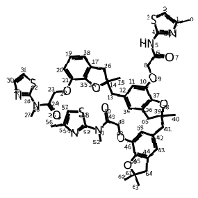 Cc1csc(NC(=O)COc2cc(CC3(C)Cc4cccc(OCC(=O)N(C)c5nccs5)c4O3)cc3c2OC(C)(Cc2cc4c(c(OCC(=O)N(C)c5nc(C)cs5)c2)OC(C)(C)C4)C3)n1